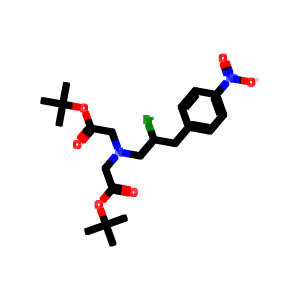 CC(C)(C)OC(=O)CN(CC(=O)OC(C)(C)C)CC(Br)Cc1ccc([N+](=O)[O-])cc1